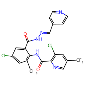 Cc1cc(Cl)cc(C(=O)NN=Cc2ccncc2)c1NC(=O)c1ncc(C(F)(F)F)cc1Cl